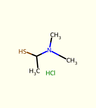 CC(S)N(C)C.Cl